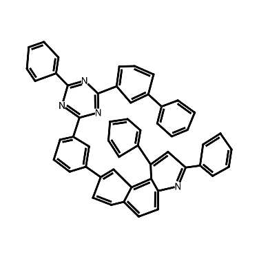 c1ccc(-c2cccc(-c3nc(-c4ccccc4)nc(-c4cccc(-c5ccc6ccc7nc(-c8ccccc8)cc(-c8ccccc8)c7c6c5)c4)n3)c2)cc1